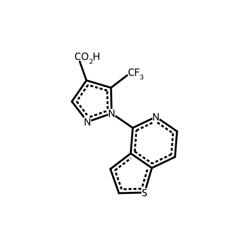 O=C(O)c1cnn(-c2nccc3sccc23)c1C(F)(F)F